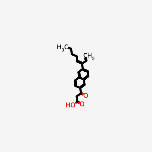 C=CC(=CCCCC)c1ccc2cc(C(=O)CC(=O)O)ccc2c1